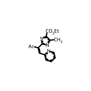 CCOC(=O)c1sc(C(=Cc2ccccn2)C(C)=O)nc1C